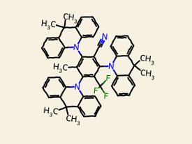 Cc1c(N2c3ccccc3C(C)(C)c3ccccc32)c(C#N)c(N2c3ccccc3C(C)(C)c3ccccc32)c(C(F)(F)F)c1N1c2ccccc2C(C)(C)c2ccccc21